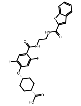 O=C(NCCNC(=O)c1cc(F)c(O[C@H]2CC[C@@H](C(=O)O)CC2)cc1F)c1cc2ccccc2s1